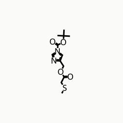 CSCC(=O)OCc1cn(C(=O)OC(C)(C)C)cn1